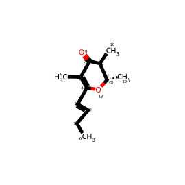 CCC=CC1=C(C)C(=O)C(C)[C@H](C)O1